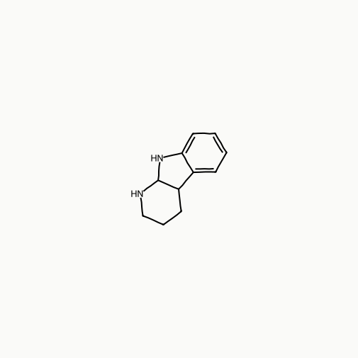 c1ccc2c(c1)NC1NCCCC21